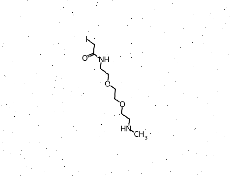 CNCCOCCOCCNC(=O)CI